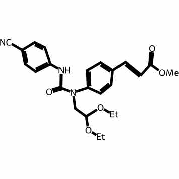 CCOC(CN(C(=O)Nc1ccc(C#N)cc1)c1ccc(C=CC(=O)OC)cc1)OCC